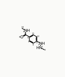 CNNc1ccc(C(=O)NC)cc1